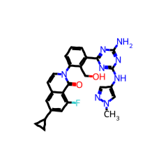 Cn1cc(Nc2nc(N)nc(-c3cccc(-n4ccc5cc(C6CC6)cc(F)c5c4=O)c3CO)n2)cn1